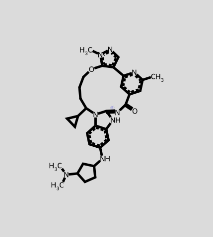 Cc1cc2cc(n1)-c1cnn(C)c1OCCCC(C1CC1)N1/C(=N/C2=O)Nc2cc(NC3CCC(N(C)C)C3)ccc21